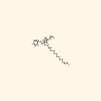 CCCCCCCCCCCCCC[C@](C)(CCc1ccccc1)CC(=O)CC